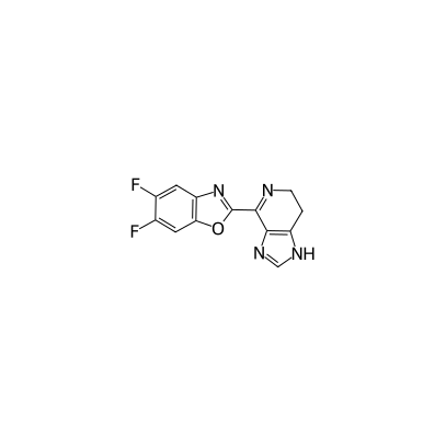 Fc1cc2nc(C3=NCCc4[nH]cnc43)oc2cc1F